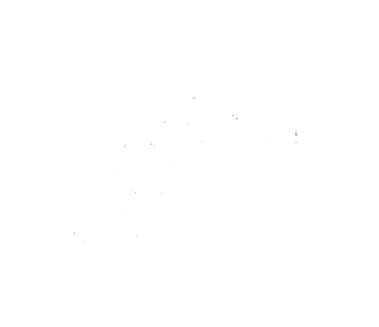 COCC(=O)N1CCN(CC2CCN(C(=O)CC(C)C)CC2)CC1